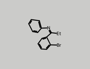 CCC(=Nc1ccccc1)c1ccccc1Br